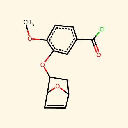 COc1ccc(C(=O)Cl)cc1OC1CC2C=CC1O2